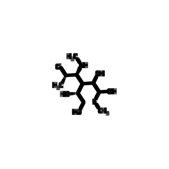 CN[C@@H](C(C(O)C(O)SC)[C@@H](O)CO)[C@H](C)Cl